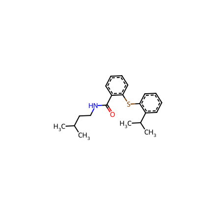 CC(C)CCNC(=O)c1ccccc1Sc1ccccc1C(C)C